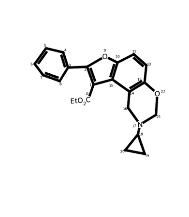 CCOC(=O)c1c(-c2ccccc2)oc2ccc3c(c12)CN(C1CC1)CO3